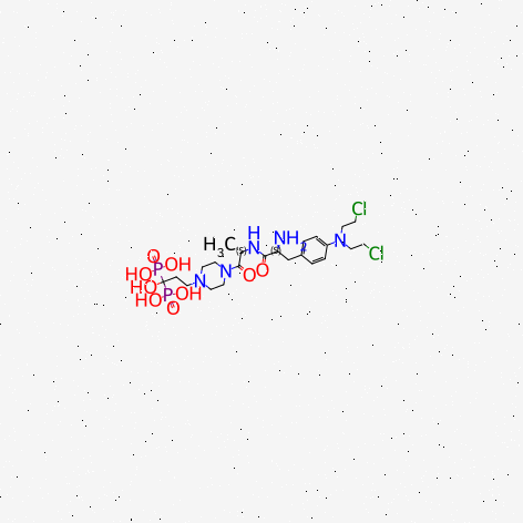 C[C@H](NC(=O)[C@@H](N)Cc1ccc(N(CCCl)CCCl)cc1)C(=O)N1CCN(CCC(O)(P(=O)(O)O)P(=O)(O)O)CC1